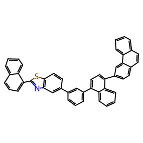 c1cc(-c2ccc3sc(-c4cccc5ccccc45)nc3c2)cc(-c2ccc(-c3ccc4ccc5ccccc5c4c3)c3ccccc23)c1